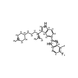 Cc1c(F)ccc2[nH]c(-c3ccc4[nH]cc(C(CCCC5CCN(C)CC5)N(C)C)c4c3)nc12